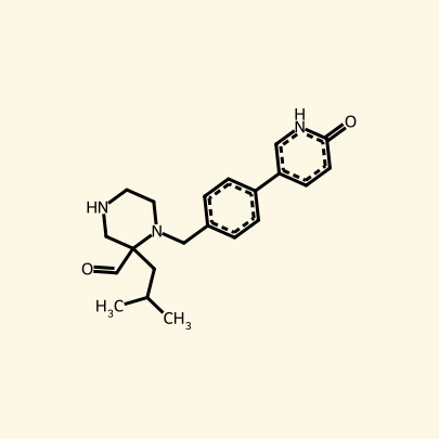 CC(C)CC1(C=O)CNCCN1Cc1ccc(-c2ccc(=O)[nH]c2)cc1